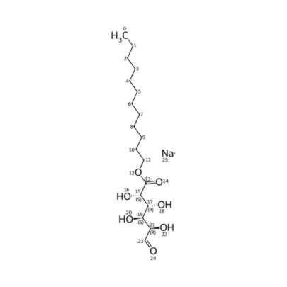 CCCCCCCCCCCCOC(=O)[C@@H](O)[C@H](O)[C@H](O)[C@@H](O)C=O.[Na]